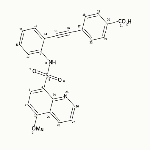 COc1ccc(S(=O)(=O)Nc2ccccc2C#Cc2ccc(C(=O)O)cc2)c2ncccc12